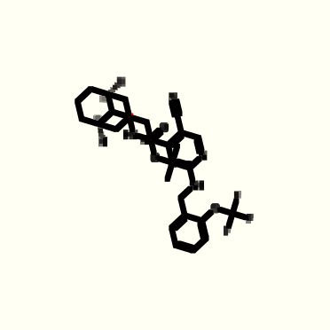 CC(C)(C)OC(=O)NCC1[C@@H]2CCC[C@H]1CC(CNc1nc(NCc3ccccc3OC(F)(F)F)ncc1C#N)C2